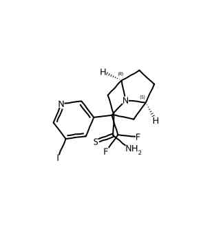 NC(=S)C1(c2cncc(I)c2)C[C@H]2CC[C@@H](C1)N2CC(F)F